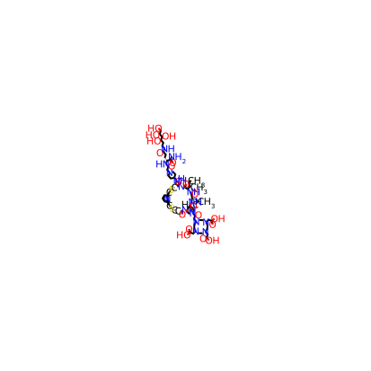 CC[C@H](C)[C@@H]1NC(=O)[C@H](CC(C)C)NC(=O)C2(CCN(C(=O)CN3CCN(CC(=O)O)CCN(CC(=O)O)CCN(CC(=O)O)CC3)CC2)NC(=O)CCSCc2cccc(n2)CSC[C@@](C=O)(CNC2CCN(CC(=O)N[C@H](CCC(=O)NCC[C@@H](O)[C@H](O)[C@H](O)CO)C(N)=O)CC2)NC1=O